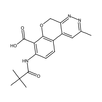 Cc1cc2c(nn1)COc1c-2ccc(NC(=O)C(C)(C)C)c1C(=O)O